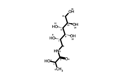 CC(O)C(=O)NC[C@H](O)[C@@H](O)[C@H](O)[C@H](O)CO